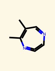 CC1=C(C)N=C=CN=C1